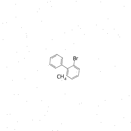 Brc1ccccc1-c1ccccc1.C